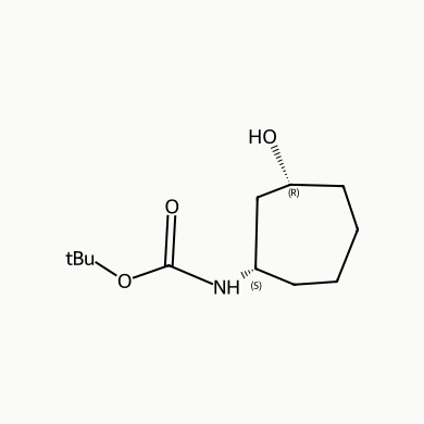 CC(C)(C)OC(=O)N[C@H]1CCCC[C@@H](O)C1